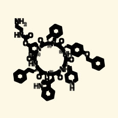 CN1C(=O)[C@H](Cc2ccc(OCc3ccccc3)cc2)NC(=O)[C@H](CC2CCNCC2)NC(=O)[C@@H](Cc2c[nH]c3ccccc23)NC(=O)[C@H](CCc2ccccc2)NC(=O)[C@@H]2CC(OC(=O)NCCN)CN2C(=O)[C@@H]1Cc1ccccc1